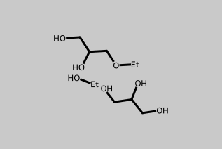 CCO.CCOCC(O)CO.OCC(O)CO